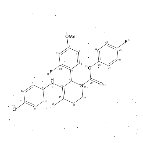 COc1ccc(C2C(NC3C=CC(Cl)=CC3)=C(C)CCN2C(=O)Oc2ccc(F)cc2)c(F)c1